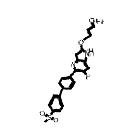 CS(=O)(=O)c1ccc(-c2ccc(-c3nc4cc(OCCCO)[nH]c4cc3F)cc2)cc1